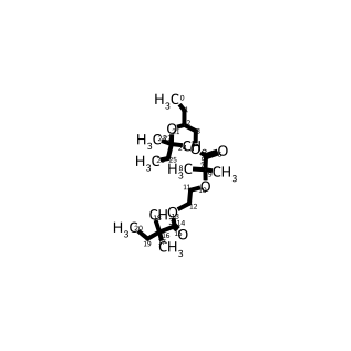 CCC(COC(=O)C(C)(C)OCCOC(=O)C(C)(C)CC)OC(C)(C)CC